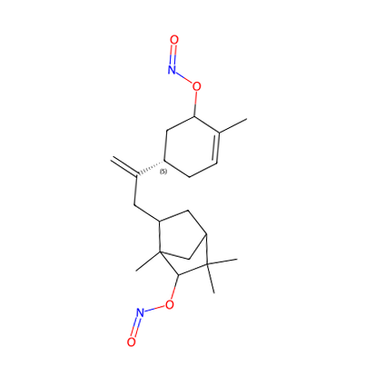 C=C(CC1CC2CC1(C)C(ON=O)C2(C)C)[C@H]1CC=C(C)C(ON=O)C1